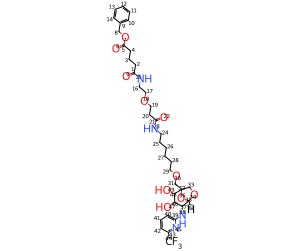 O=C(CCCC(=O)OCc1ccccc1)NCCOCCC(=O)NCCCCCCOC[C@@]12CO[C@@H](O1)[C@H](Nc1cccc(C(F)(F)F)n1)[C@@H](O)[C@H]2O